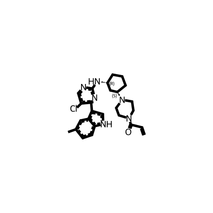 C=CC(=O)N1CCN([C@H]2CCC[C@@H](Nc3ncc(Cl)c(-c4c[nH]c5ccc(C)cc45)n3)C2)CC1